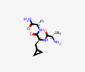 CC[C@H](NC(=O)[C@H](CC1CC1)NC(=O)[C@@H](N)C(C)(C)C)C(N)=O